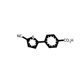 N#Cc1ccc(-c2ccc(C(=O)O)cc2)s1